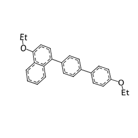 CCOc1ccc(-c2ccc(-c3ccc(OCC)c4ccccc34)cc2)cc1